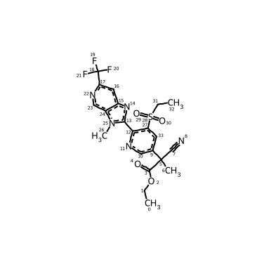 CCOC(=O)C(C)(C#N)c1cnc(-c2nc3cc(C(F)(F)F)ncc3n2C)c(S(=O)(=O)CC)c1